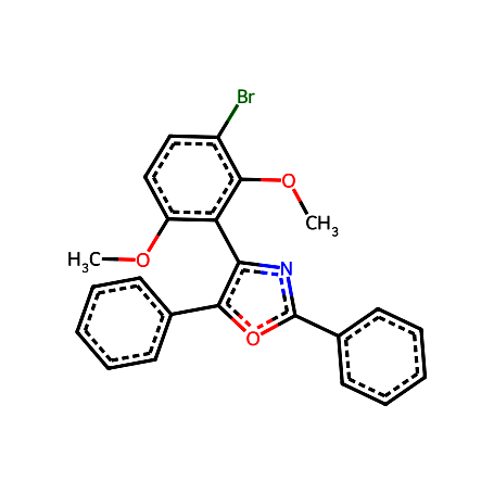 COc1ccc(Br)c(OC)c1-c1nc(-c2ccccc2)oc1-c1ccccc1